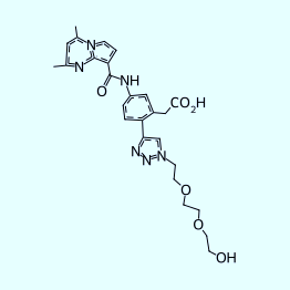 Cc1cc(C)n2ccc(C(=O)Nc3ccc(-c4cn(CCOCCOCCO)nn4)c(CC(=O)O)c3)c2n1